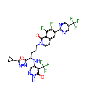 O=c1[nH]ncc(NC(CCCn2ccc3cc(-c4ncc(C(F)(F)F)cn4)c(F)c(F)c3c2=O)c2nnc(C3CC3)o2)c1C(F)(F)F